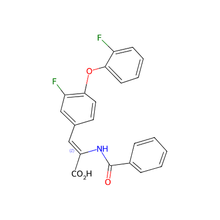 O=C(O)/C(=C/c1ccc(Oc2ccccc2F)c(F)c1)NC(=O)c1ccccc1